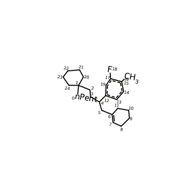 CCCCCC1(CCC(CC2=CCCCC2)c2ccc(C)c(F)c2)CCCCC1